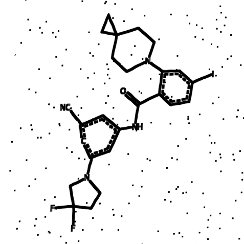 N#Cc1cc(NC(=O)c2ccc(I)cc2N2CCC3(CC2)CC3)cc(N2CCC(F)(F)C2)c1